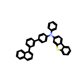 c1ccc(N(c2ccc(-c3cccc(-c4cccc5ccccc45)c3)cc2)c2ccc3c(c2)sc2ccccc23)cc1